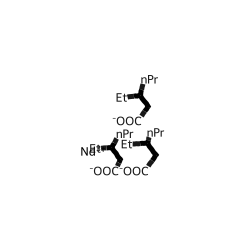 CCCC(CC)CC(=O)[O-].CCCC(CC)CC(=O)[O-].CCCC(CC)CC(=O)[O-].[Nd+3]